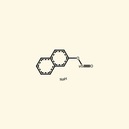 O=[SH]Oc1ccc2ccccc2c1.[NaH]